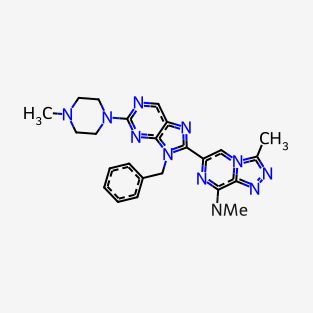 CNc1nc(-c2nc3cnc(N4CCN(C)CC4)nc3n2Cc2ccccc2)cn2c(C)nnc12